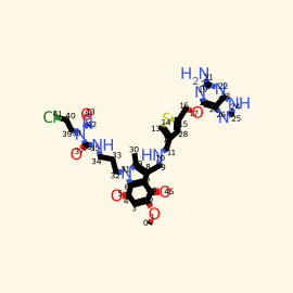 COC1=CC(=O)c2c(c(CNCc3csc(COc4nc(N)nc5[nH]cnc45)c3)c(C)n2CCCNC(=O)N(CCCl)N=O)C1=O